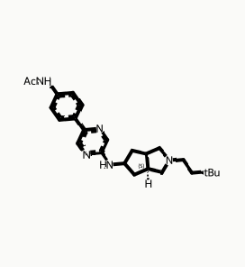 CC(=O)Nc1ccc(-c2cnc(NC3CC4CN(CCC(C)(C)C)C[C@H]4C3)cn2)cc1